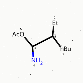 CCCCC(CC)C(N)OC(C)=O